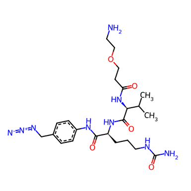 CC(C)[C@H](NC(=O)CCOCCN)C(=O)N[C@@H](CCCNC(N)=O)C(=O)Nc1ccc(CN=[N+]=[N-])cc1